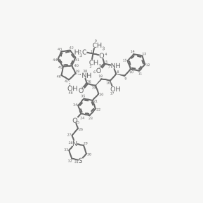 CC(C)(C)OC(=O)N[C@@H](Cc1ccccc1)[C@@H](O)C[C@@H](Cc1ccc(OCCN2CCSCC2)cc1)C(=O)N[C@H]1c2ccccc2C[C@H]1O